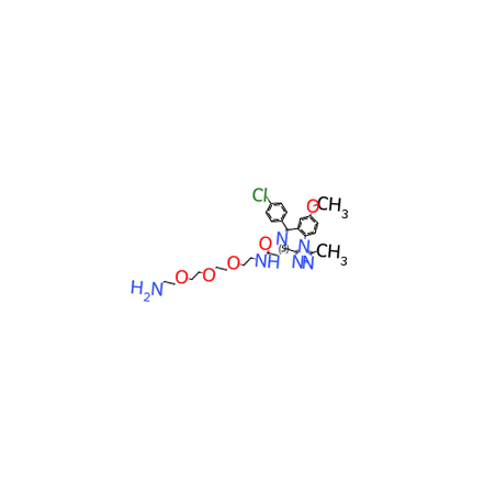 COc1ccc2c(c1)C(c1ccc(Cl)cc1)=N[C@@H](CC(=O)NCCOCCOCCOCCN)c1nnc(C)n1-2